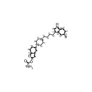 NC(=O)Oc1cc2cc(N3CCN(CCCCc4c[nH]c5ccc(F)cc45)CC3)ccc2o1